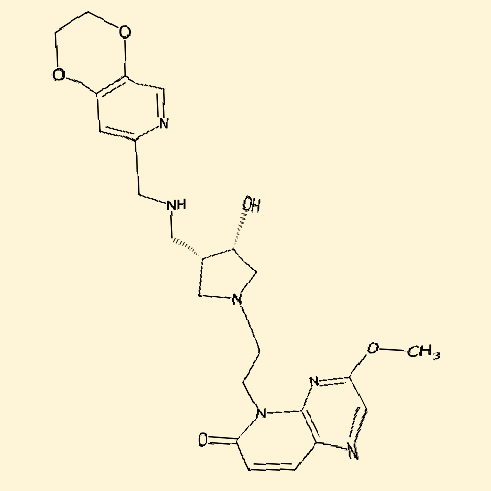 COc1cnc2ccc(=O)n(CCN3C[C@H](CNCc4cc5c(cn4)OCCO5)[C@H](O)C3)c2n1